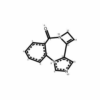 O=C1c2ccccc2-n2cncc2C2=CCN12